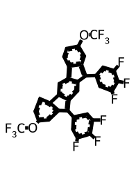 Fc1cc(C2=c3cc4c(cc3-c3ccc(OC(F)(F)F)cc32)=c2ccc(OC(F)(F)F)cc2=C4c2cc(F)c(F)c(F)c2)cc(F)c1F